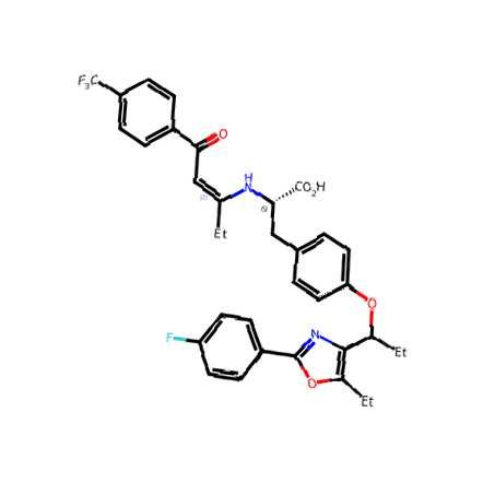 CC/C(=C/C(=O)c1ccc(C(F)(F)F)cc1)N[C@@H](Cc1ccc(OC(CC)c2nc(-c3ccc(F)cc3)oc2CC)cc1)C(=O)O